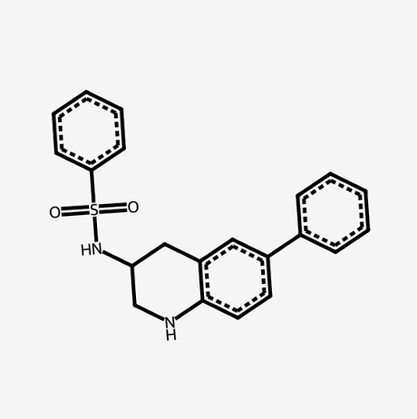 O=S(=O)(NC1CNc2ccc(-c3ccccc3)cc2C1)c1ccccc1